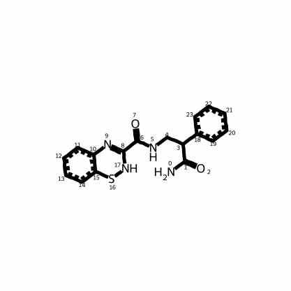 NC(=O)C(CNC(=O)C1=Nc2ccccc2SN1)c1ccccc1